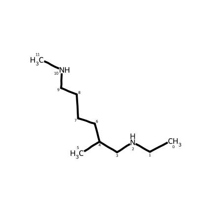 CCNCC(C)CCCCNC